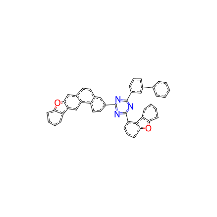 c1ccc(-c2cccc(-c3nc(-c4ccc5c(ccc6cc7oc8ccccc8c7cc65)c4)nc(-c4cccc5oc6ccccc6c45)n3)c2)cc1